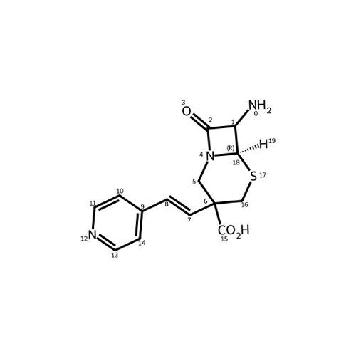 NC1C(=O)N2CC(C=Cc3ccncc3)(C(=O)O)CS[C@H]12